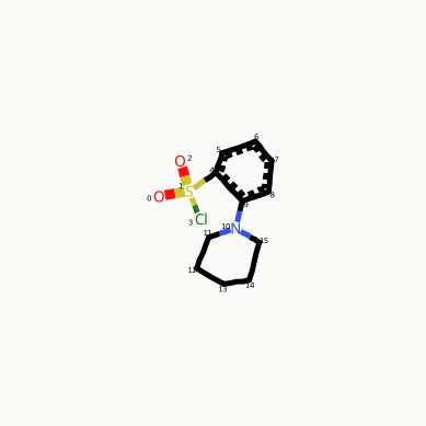 O=S(=O)(Cl)c1ccccc1N1CCCCC1